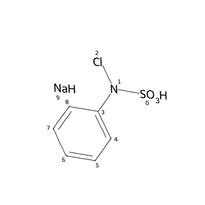 O=S(=O)(O)N(Cl)c1ccccc1.[NaH]